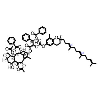 CC(=O)O[C@@H]1C(=O)[C@@]2(C)[C@H]([C@H](OC(=O)c3ccccc3)[C@@]3(O)C[C@H](OC(=O)[C@H](OC(=O)Oc4cc(C)c5c(c4)CC[C@@](C)(CC/C=C(\C)CC/C=C(\C)CCC=C(C)C)O5)[C@H](NC(=O)c4ccccc4)c4ccccc4)C(C)=C1C3(C)C)[C@]1(OC(C)=O)CO[C@@H]1C[C@@H]2O